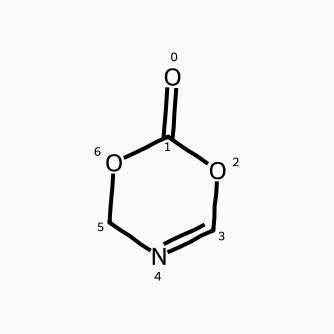 O=C1OC=NCO1